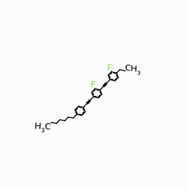 CCCCCCCc1ccc(C#Cc2ccc(C#Cc3ccc(CCC)c(F)c3)c(F)c2)cc1